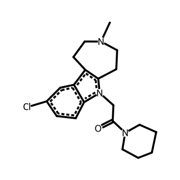 CN1CCc2c(n(CC(=O)N3CCCCC3)c3ccc(Cl)cc23)CC1